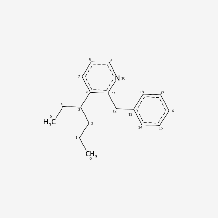 CCCC(CC)c1cccnc1Cc1ccccc1